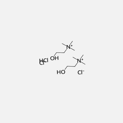 C[N+](C)(C)CCO.C[N+](C)(C)CCO.Cl.[Cl-].[Cl-]